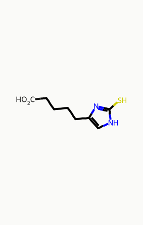 O=C(O)CCCCc1c[nH]c(S)n1